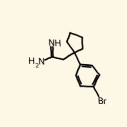 N=C(N)CC1(c2ccc(Br)cc2)CCCC1